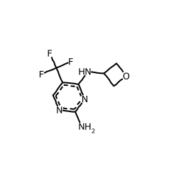 Nc1ncc(C(F)(F)F)c(NC2COC2)n1